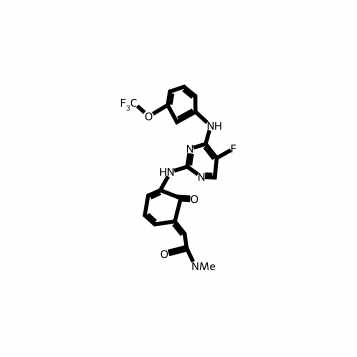 CNC(=O)C=C1C=CC=C(Nc2ncc(F)c(Nc3cccc(OC(F)(F)F)c3)n2)C1=O